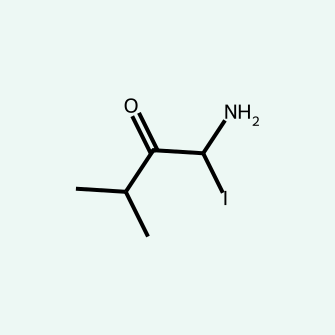 CC(C)C(=O)C(N)I